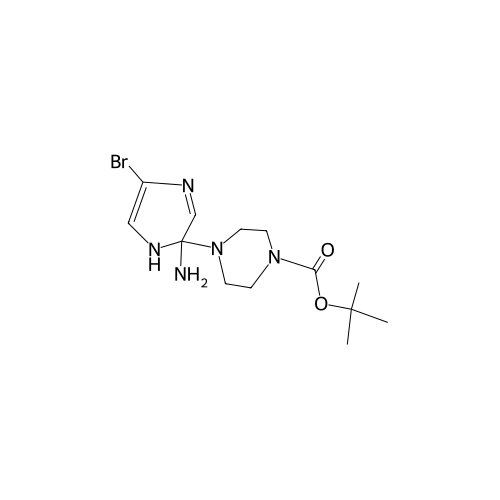 CC(C)(C)OC(=O)N1CCN(C2(N)C=NC(Br)=CN2)CC1